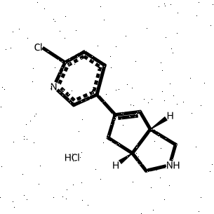 Cl.Clc1ccc(C2=C[C@@H]3CNC[C@@H]3C2)cn1